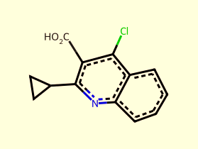 O=C(O)c1c(C2CC2)nc2ccccc2c1Cl